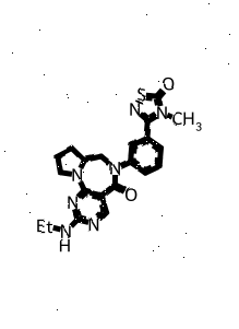 CCNc1ncc2c(n1)N1CCCC1CN(c1cccc(-c3nsc(=O)n3C)c1)C2=O